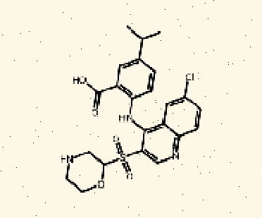 CC(C)c1ccc(Nc2c(S(=O)(=O)C3CNCCO3)cnc3ccc(Cl)cc23)c(C(=O)O)c1